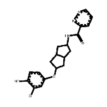 N#Cc1ccc(OC2CC3CC(NC(=O)c4cccnn4)CC3C2)cc1Cl